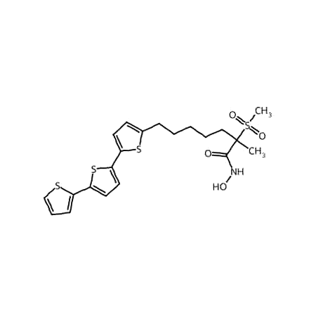 CC(CCCCCc1ccc(-c2ccc(-c3cccs3)s2)s1)(C(=O)NO)S(C)(=O)=O